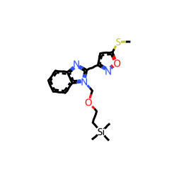 CSc1cc(-c2nc3ccccc3n2COCC[Si](C)(C)C)no1